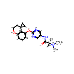 CC[C@](C)(C(=O)Nc1cnc(Oc2cccc3c2C2(CCO3)CC2)nc1)N(C(=O)O)C(C)(C)C